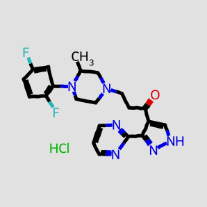 CC1CN(CCC(=O)c2c[nH]nc2-c2ncccn2)CCN1c1cc(F)ccc1F.Cl